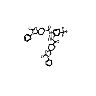 O=C(Nc1cc(C(F)(F)F)ccc1NC(=O)[C@H]1CC[C@@]2(CC1)CN(c1ccccc1)C(=O)O2)C1CCC2(CC1)CN(c1ccccc1)C(=O)O2